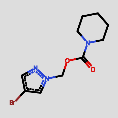 O=C(OCn1cc(Br)cn1)N1CCCCC1